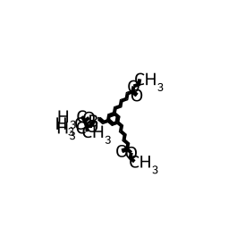 CCOC(=O)CCCCCc1cc(/C=C/B2OC(C)(C)C(C)(C)O2)cc(CCCCCC(=O)OCC)c1